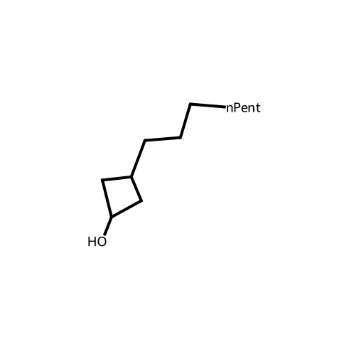 CCCCCCCCC1CC(O)C1